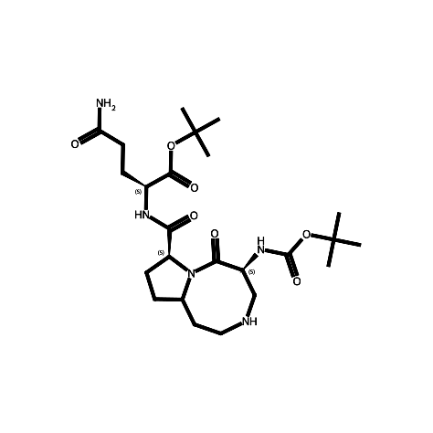 CC(C)(C)OC(=O)N[C@H]1CNCCC2CC[C@@H](C(=O)N[C@@H](CCC(N)=O)C(=O)OC(C)(C)C)N2C1=O